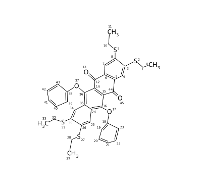 CCSc1cc2c(cc1SCC)C(=O)c1c(c(Oc3ccccc3)c3cc(SCC)c(SCC)cc3c1Oc1ccccc1)C2=O